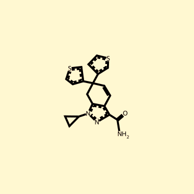 NC(=O)c1nn(C2CC2)c2c1C=CC(c1ccsc1)(c1ccsc1)C2